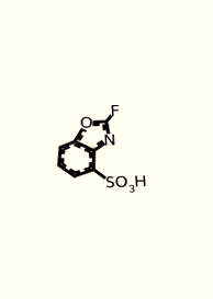 O=S(=O)(O)c1cccc2oc(F)nc12